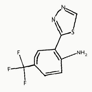 Nc1ccc(C(F)(F)F)cc1-c1nncs1